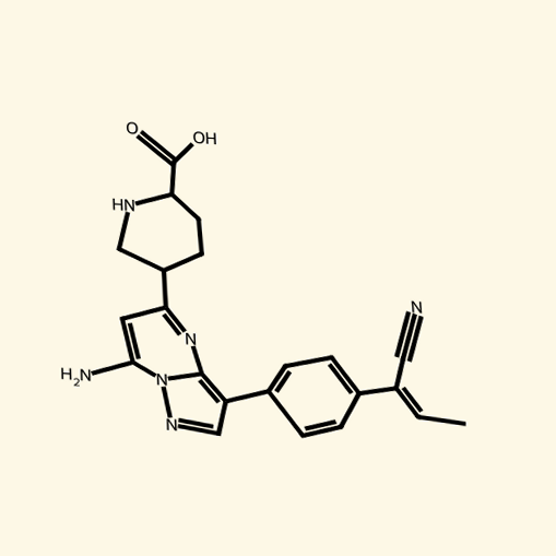 C/C=C(\C#N)c1ccc(-c2cnn3c(N)cc(C4CCC(C(=O)O)NC4)nc23)cc1